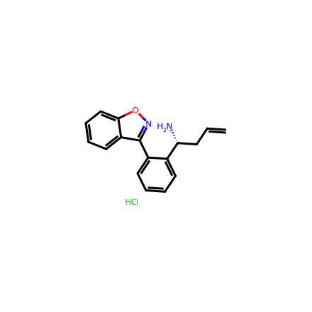 C=CC[C@@H](N)c1ccccc1-c1noc2ccccc12.Cl